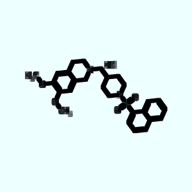 COc1cc2c(cc1OC)CN(CC1CCN(S(=O)(=O)c3cccc4ccccc34)CC1)CC2.Cl